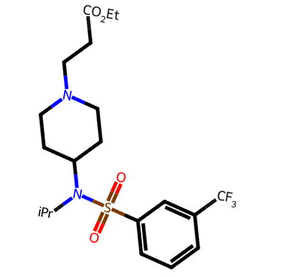 CCOC(=O)CCN1CCC(N(C(C)C)S(=O)(=O)c2cccc(C(F)(F)F)c2)CC1